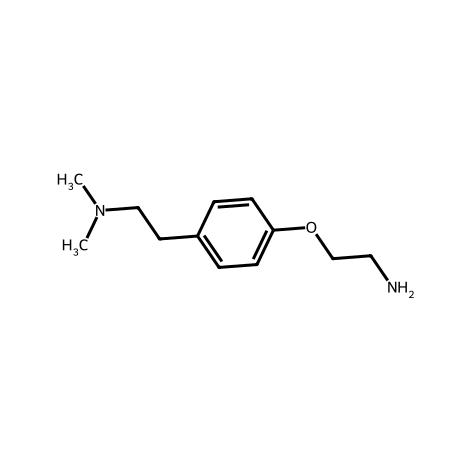 CN(C)CCc1ccc(OCCN)cc1